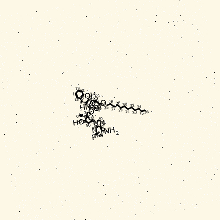 C#C[C@]1(COP(=O)(N[C@@H](Cc2ccccc2)C(=O)O)O[C@@H](C)C(=O)OCCCCCCCCCCCC)O[C@@H](n2cnc3c(N)nc(F)nc32)C[C@@H]1O